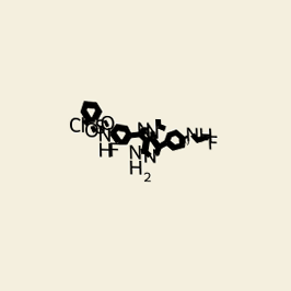 CC(C)n1nc(-c2ccc(NS(=O)(=O)c3ccccc3Cl)c(F)c2)c2c(N)ncc(C3=CC[C@H](NCCF)CC3)c21